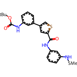 CSNc1cccc(NC(=O)c2cc(-c3cccc(NC(=O)OC(C)(C)C)c3)cs2)c1